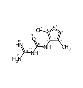 Cc1csc(Cl)c1NC(=O)NC(=N)N